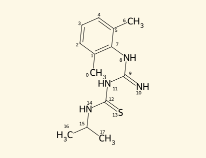 Cc1cccc(C)c1NC(=N)NC(=S)NC(C)C